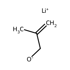 C=C(C)C[O-].[Li+]